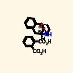 O=C(O)c1ccccc1C(=O)O.c1ccc2c(c1)C[C@H]1NCC[C@@]23CCCC[C@@H]13